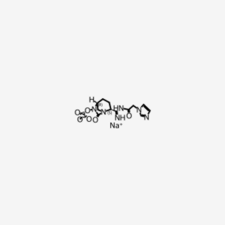 N=C(NC(=O)Cn1ccnc1)[C@@H]1CC[C@@H]2CN1C(=O)N2OS(=O)(=O)[O-].[Na+]